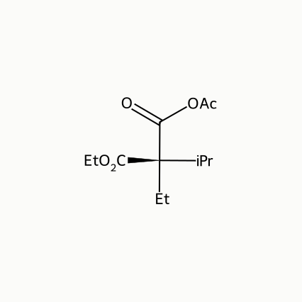 CCOC(=O)[C@@](CC)(C(=O)OC(C)=O)C(C)C